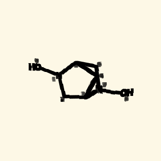 ON1CC2CC1CN2O